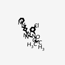 CC[C@H](C)OC(=O)N1Cc2cc(Cl)ccc2-n2c(nnc2C2CC3(C2)CN(c2ccccn2)C3)C1